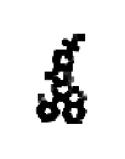 CC(C)(O)c1ccc(N/C(N)=N/C(=C(\N)c2ccncc2F)c2ccccc2F)cn1